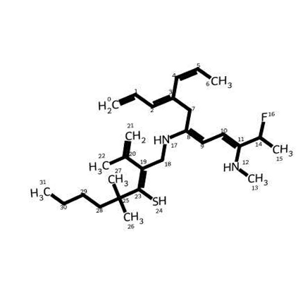 C=C/C=C(\C=C/C)C/C(=C\C=C(/NC)C(C)F)NC/C(C(=C)C)=C(\S)C(C)(C)CCCC